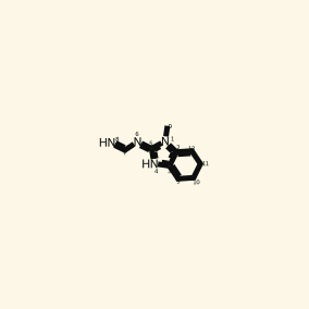 Cn1c2c([nH]/c1=N\C=N)=CCCC=2